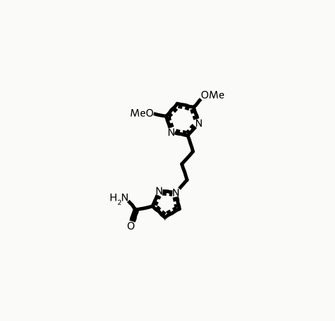 COc1cc(OC)nc(CCCn2c[c]c(C(N)=O)n2)n1